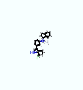 CN(c1cccc(-c2c[nH]c3c(F)cccc23)c1)C1CCc2ccccc21